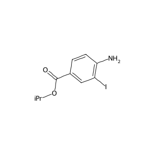 CC(C)OC(=O)c1ccc(N)c(I)c1